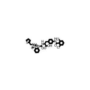 O=C(Nc1ccccc1S(=O)(=O)NCc1cccs1)NC(Cc1ccc(NC(=O)c2c(Cl)cccc2Cl)cc1)C(=O)O